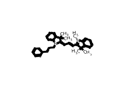 C[N+]1=C(/C=C/C=C2/N(CCCc3ccccc3)c3ccccc3C2(C)C)C(C)(C)c2ccccc21